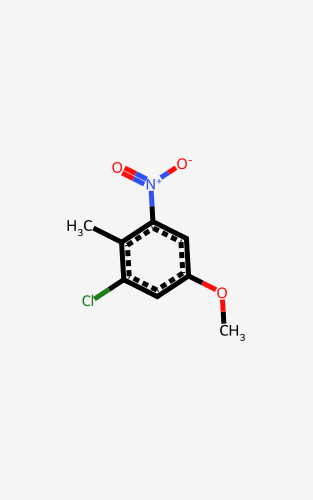 COc1cc(Cl)c(C)c([N+](=O)[O-])c1